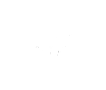 [Fe+3].[Li+].[Li+].[Li+].[O-]P([O-])[O-].[O-]P([O-])[O-]